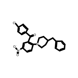 O=C(c1ccc(Cl)cc1)c1cc([N+](=O)[O-])ccc1N1CCC(Cc2ccccc2)CC1